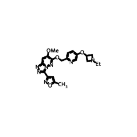 CCN1CC(Oc2ccc(COc3nn4c(-c5cc(C)on5)nnc4cc3OC)nc2)C1